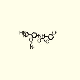 COc1ccc2c(c1)CC(C(=O)Nc1ccc(-c3cn[nH]c3)c(OCCN(C)C)c1)CO2